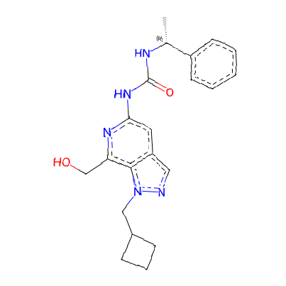 C[C@@H](NC(=O)Nc1cc2cnn(CC3CCC3)c2c(CO)n1)c1ccccc1